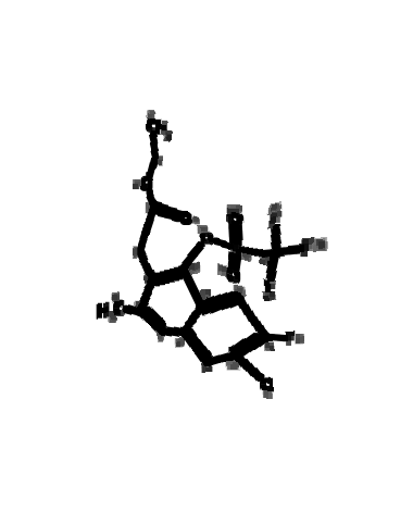 CCOC(=O)Cc1c(C)cc2cc(Cl)c(F)cc2c1OS(=O)(=O)C(F)(F)F